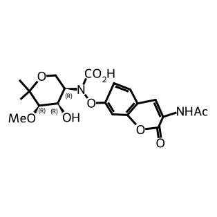 CO[C@@H]1[C@H](O)[C@H](N(Oc2ccc3cc(NC(C)=O)c(=O)oc3c2)C(=O)O)COC1(C)C